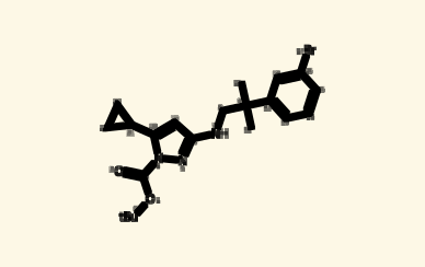 CC(C)(C)OC(=O)n1nc(NCC(C)(C)c2cccc(Br)c2)cc1C1CC1